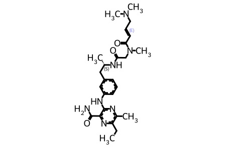 CCc1nc(C(N)=O)c(Nc2cccc(C[C@H](C)NC(=O)CN(C)C(=O)/C=C/CN(C)C)c2)nc1C